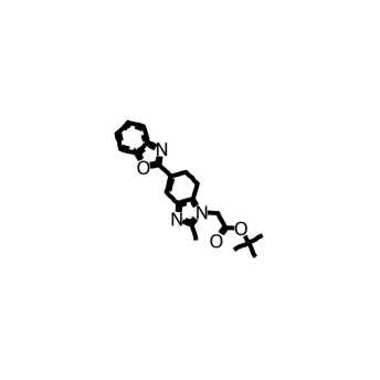 Cc1nc2c(n1CC(=O)OC(C)(C)C)CCC(c1nc3ccccc3o1)=C2